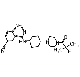 CC(C)(F)C(=O)N1CCN([C@H]2CC[C@H](Nc3ncnc4ccc(C#N)cc34)CC2)CC1